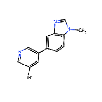 CC(C)c1cncc(-c2ccc3c(c2)ncn3C)c1